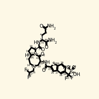 NC(=O)CC[C@H](NC(=O)[C@@H]1CC[C@@H]2CCN(CC(F)F)C[C@H](NC(=O)c3cc4cc(C(F)(F)P(=O)(O)O)ccc4s3)C(=O)N21)C(N)=O